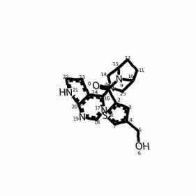 O=C(c1cc(CO)cs1)N1C2CCC1CN(c1ncnc3[nH]ccc13)C2